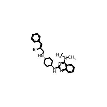 CN(C)c1nc(N[C@H]2CC[C@@H](NC/C(Br)=C/c3ccccc3)CC2)nc2ccccc12